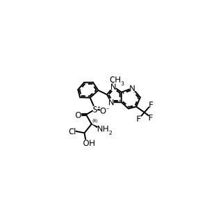 Cn1c(-c2ccccc2[S+]([O-])C(=O)[C@@H](N)C(O)Cl)nc2cc(C(F)(F)F)cnc21